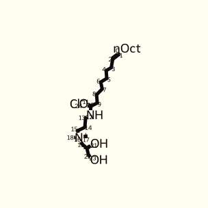 CCCCCCCCC=CCCCCCCCC(=O)NCCC[N+](C)(C)CC(O)CO.[Cl-]